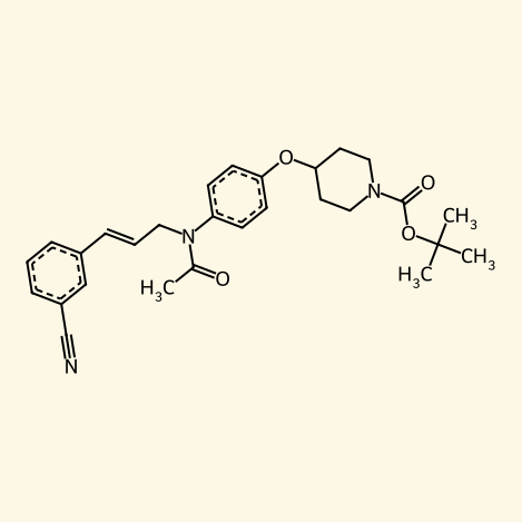 CC(=O)N(CC=Cc1cccc(C#N)c1)c1ccc(OC2CCN(C(=O)OC(C)(C)C)CC2)cc1